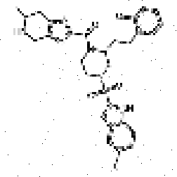 CC1Cc2nc(C(=O)N3CCN(S(=O)(=O)c4cc5cc(Cl)ccc5[nH]4)CC3CCn3ccccc3=O)oc2CN1